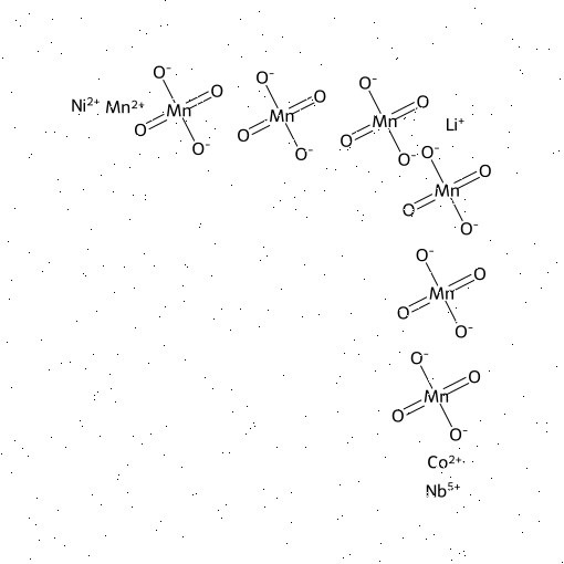 [Co+2].[Li+].[Mn+2].[Nb+5].[Ni+2].[O]=[Mn](=[O])([O-])[O-].[O]=[Mn](=[O])([O-])[O-].[O]=[Mn](=[O])([O-])[O-].[O]=[Mn](=[O])([O-])[O-].[O]=[Mn](=[O])([O-])[O-].[O]=[Mn](=[O])([O-])[O-]